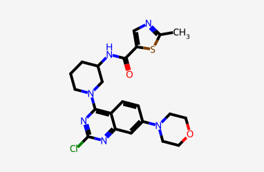 Cc1ncc(C(=O)NC2CCCN(c3nc(Cl)nc4cc(N5CCOCC5)ccc34)C2)s1